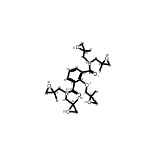 CC1(COc2c(C(=O)N(CC3(C)CO3)CC3(C)CO3)cccc2C(=O)N(CC2(C)CO2)CC2(C)CO2)CO1